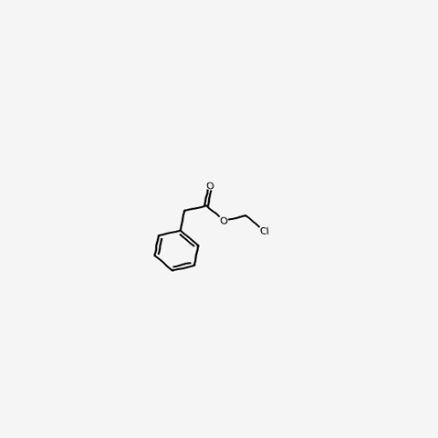 O=C(Cc1ccccc1)OCCl